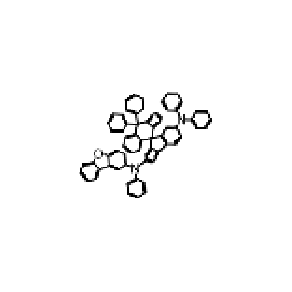 C1=CCCC(C2(c3ccccc3)c3ccccc3C3(c4cc(N(c5ccccc5)c5ccccc5)ccc4-c4ccc(N(c5ccccc5)c5ccc6oc7ccccc7c6c5)cc43)c3ccccc32)=C1